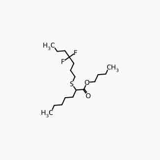 CCCCCC(SCCCC(F)(F)CCC)C(=O)OCCCC